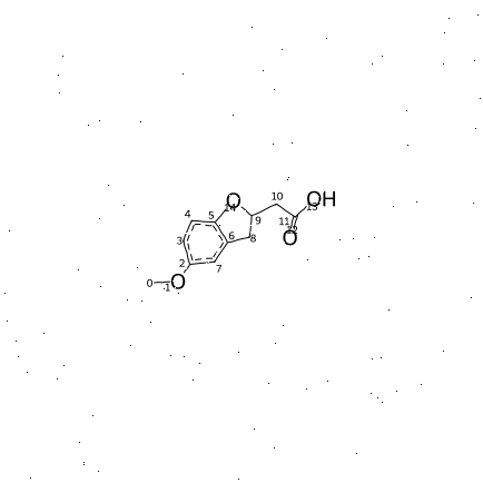 COc1ccc2c(c1)CC(CC(=O)O)O2